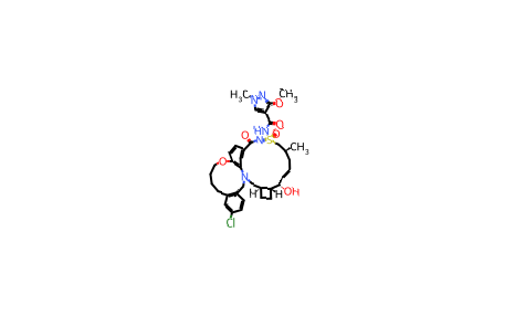 COc1nn(C)cc1C(=O)NS1(=O)=NC(=O)c2ccc3c(c2)N(Cc2ccc(Cl)cc2CCCCO3)C[C@@H]2CC[C@H]2[C@@H](O)/C=C/C[C@H](C)C1